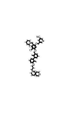 Cc1c(COc2cc(OCc3cncc(C#N)c3)c(CN3CCCC[C@H]3C(=O)O)cc2Cl)cccc1-c1cccc(OCCCN2CCCC3(CCOCC3)C2)c1C